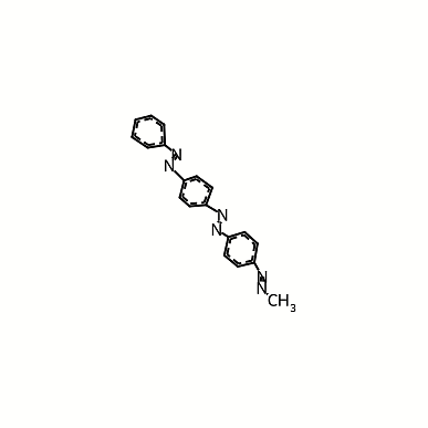 CN=Nc1ccc(N=Nc2ccc(N=Nc3ccccc3)cc2)cc1